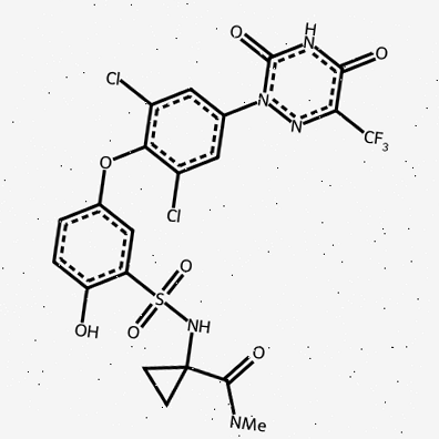 CNC(=O)C1(NS(=O)(=O)c2cc(Oc3c(Cl)cc(-n4nc(C(F)(F)F)c(=O)[nH]c4=O)cc3Cl)ccc2O)CC1